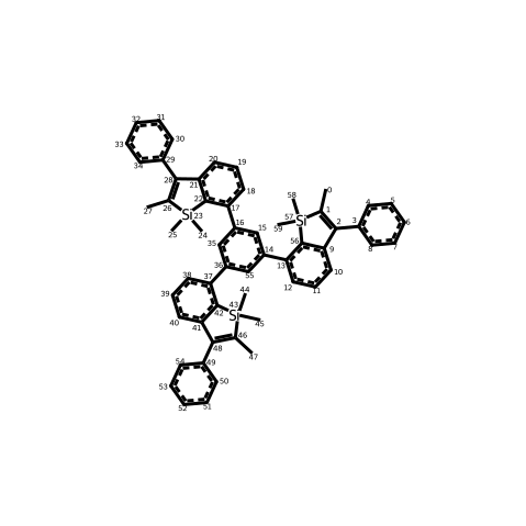 CC1=C(c2ccccc2)c2cccc(-c3cc(-c4cccc5c4[Si](C)(C)C(C)=C5c4ccccc4)cc(-c4cccc5c4[Si](C)(C)C(C)=C5c4ccccc4)c3)c2[Si]1(C)C